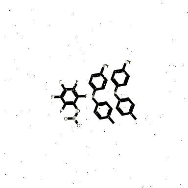 Cc1ccc([I+]c2ccc(C(C)C)cc2)cc1.Cc1ccc([I+]c2ccc(C(C)C)cc2)cc1.[O-]B([O-])Oc1c(F)c(F)c(F)c(F)c1F